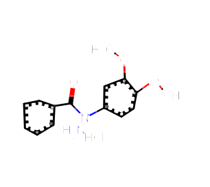 COc1ccc(N(N)C(=O)c2ccccc2)cc1OC.Cl